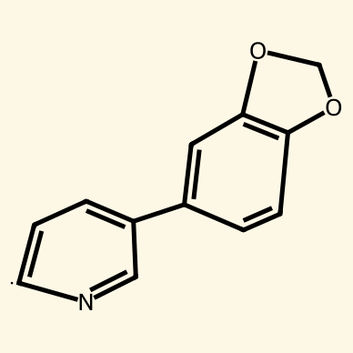 [c]1ccc(-c2ccc3c(c2)OCO3)cn1